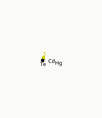 S=[Te].[Cd].[Hg]